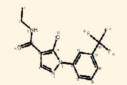 CCNC(=O)c1cnn(-c2cccc(C(F)(F)F)c2)c1Cl